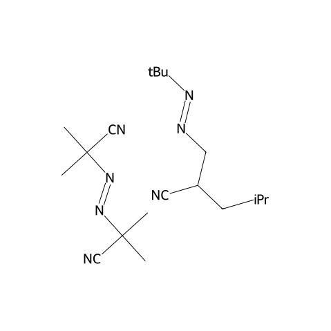 CC(C)(C#N)N=NC(C)(C)C#N.CC(C)CC(C#N)CN=NC(C)(C)C